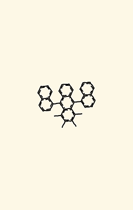 Cc1c(C)c(C)c2c(-c3cccc4ccccc34)c3ccccc3c(-c3cccc4ccccc34)c2c1C